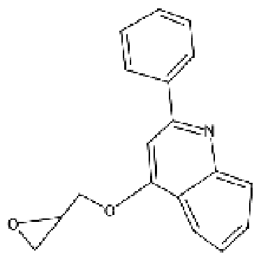 c1ccc(-c2cc(OCC3CO3)c3ccccc3n2)cc1